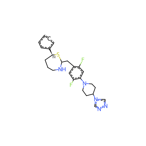 Fc1cc(N2CCC(n3cnnc3)CC2)c(F)cc1CC1NCCC[C@@H](c2ccccc2)S1